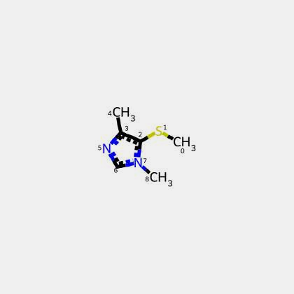 CSc1c(C)ncn1C